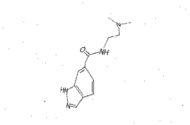 CN(C)CCNC(=O)c1ccc2cn[nH]c2c1